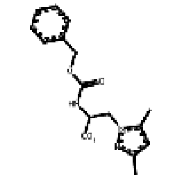 Cc1cc(C)n(CC(NC(=O)OCc2ccccc2)C(=O)O)n1